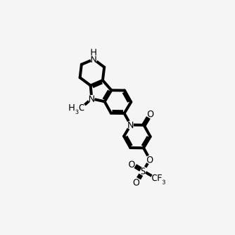 Cn1c2c(c3ccc(-n4ccc(OS(=O)(=O)C(F)(F)F)cc4=O)cc31)CNCC2